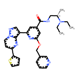 CCN(CC)[C@@H](C)CNC(=O)c1cc(OCc2cccnc2)nc(-c2cnn3ccc(-c4cccs4)nc23)c1